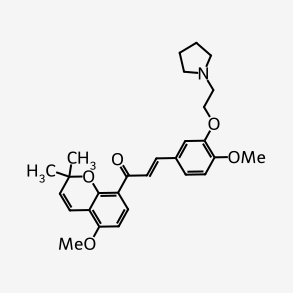 COc1ccc(C=CC(=O)c2ccc(OC)c3c2OC(C)(C)C=C3)cc1OCCN1CCCC1